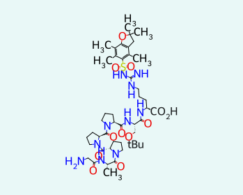 Cc1c(C)c(S(=O)(=O)NC(=N)NCCC[C@H](NC(=O)[C@H](COC(C)(C)C)NC(=O)[C@@H]2CCCN2C(=O)[C@@H]2CCCN2C(=O)[C@@H]2CCCN2C(=O)[C@H](C)NC(=O)CN)C(=O)O)c(C)c2c1OC(C)(C)C2